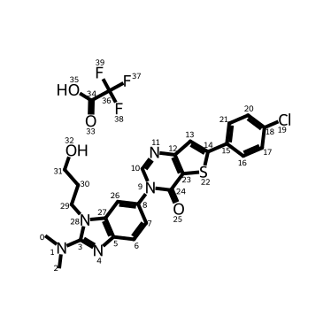 CN(C)c1nc2ccc(-n3cnc4cc(-c5ccc(Cl)cc5)sc4c3=O)cc2n1CCCO.O=C(O)C(F)(F)F